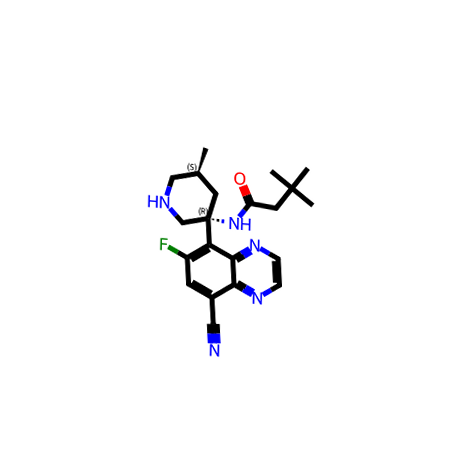 C[C@@H]1CNC[C@](NC(=O)CC(C)(C)C)(c2c(F)cc(C#N)c3nccnc23)C1